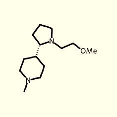 COCCN1CCC[C@H]1C1CCN(C)CC1